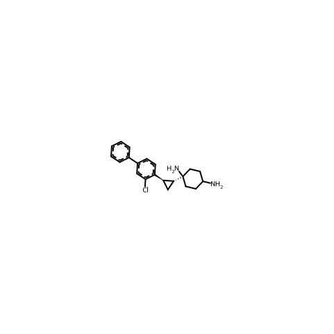 NC1CCC(N)([C@@H]2C[C@H]2c2ccc(-c3ccccc3)cc2Cl)CC1